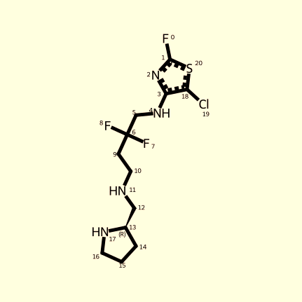 Fc1nc(NCC(F)(F)CCNC[C@H]2CCCN2)c(Cl)s1